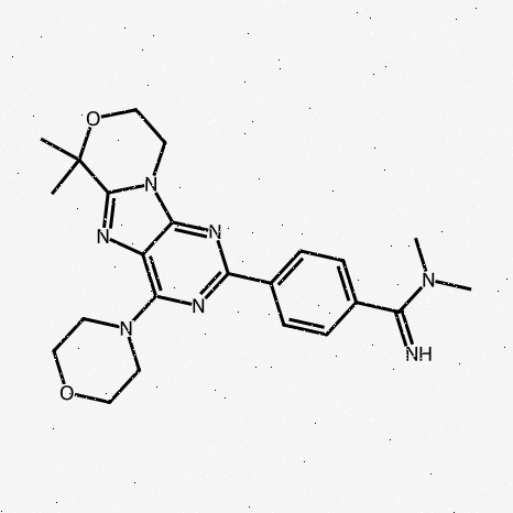 CN(C)C(=N)c1ccc(-c2nc(N3CCOCC3)c3nc4n(c3n2)CCOC4(C)C)cc1